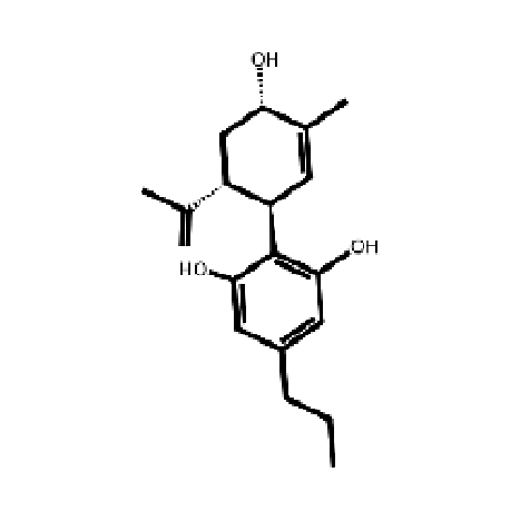 C=C(C)[C@@H]1C[C@H](O)C(C)=C[C@H]1c1c(O)cc(CCC)cc1O